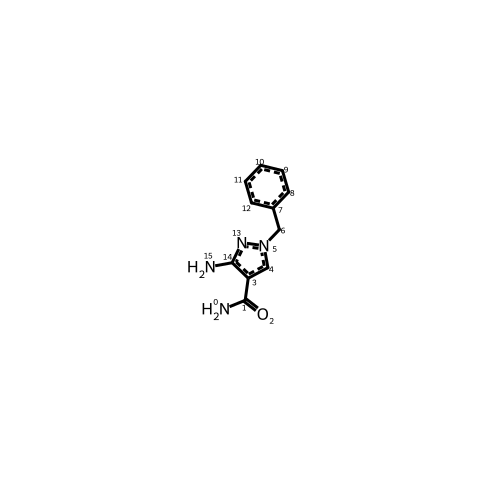 NC(=O)c1cn(Cc2ccccc2)nc1N